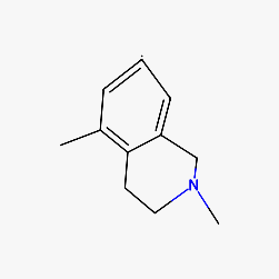 Cc1c[c]cc2c1CCN(C)C2